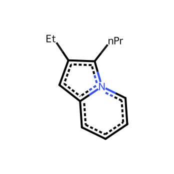 CCCc1c(CC)cc2ccccn12